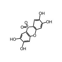 O=S1(=O)c2cc(O)c(O)cc2Oc2cc(O)c(O)cc21